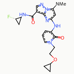 CNc1cc(Nc2cccn(CCOC3CC3)c2=O)nc2c(C(=O)N[C@@H]3C[C@@H]3F)cnn12